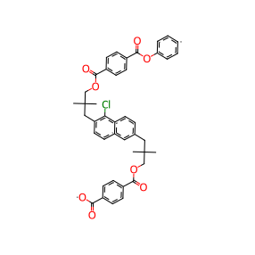 CC(C)(COC(=O)c1ccc(C([O])=O)cc1)Cc1ccc2c(Cl)c(CC(C)(C)COC(=O)c3ccc(C(=O)Oc4cc[c]cc4)cc3)ccc2c1